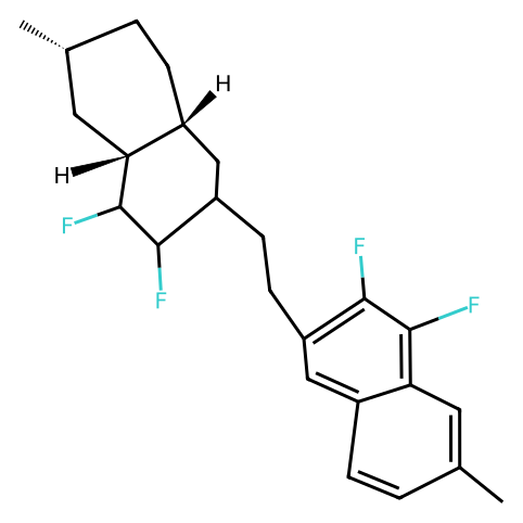 Cc1ccc2cc(CCC3C[C@H]4CC[C@@H](C)C[C@H]4C(F)C3F)c(F)c(F)c2c1